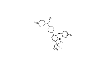 C=CC(C)(N)C(=O)N[C@H](Cc1ccc(Cl)cc1)C(=O)N1CCN(N(CC(C)C)C2CCN(C(C)=O)CC2)CC1